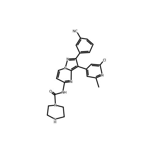 Cc1cc(-c2c(-c3cccc(C#N)c3)nn3ccc(NC(=O)N4CCNCC4)nc23)cc(Cl)n1